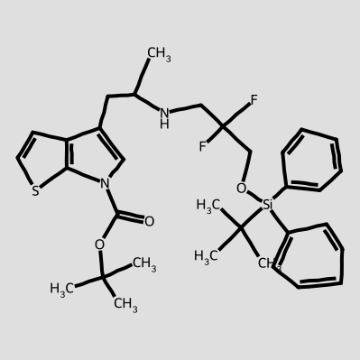 CC(Cc1cn(C(=O)OC(C)(C)C)c2sccc12)NCC(F)(F)CO[Si](c1ccccc1)(c1ccccc1)C(C)(C)C